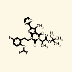 Cc1c(-c2ncco2)sc2c1c(=O)n(C(C)C(=O)OC(C)(C)C)c(=O)n2CCc1cc(F)ccc1OC(F)F